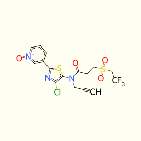 C#CCN(C(=O)CCS(=O)(=O)CC(F)(F)F)c1sc(-c2ccc[n+]([O-])c2)nc1Cl